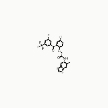 Cc1cc2scnc2cc1NC(=O)COc1ccc(Cl)cc1C(=O)c1cc(F)cc(C(F)(F)F)c1